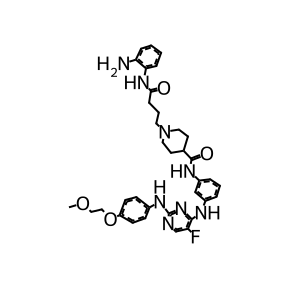 COCCOc1ccc(Nc2ncc(F)c(Nc3cccc(NC(=O)C4CCN(CCCC(=O)Nc5ccccc5N)CC4)c3)n2)cc1